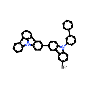 CCCc1ccc2c(c1)c1cc(-c3ccc4c(c3)c3cccc5c6ccccc6n4c53)ccc1n2-c1cccc(-c2ccccc2)c1